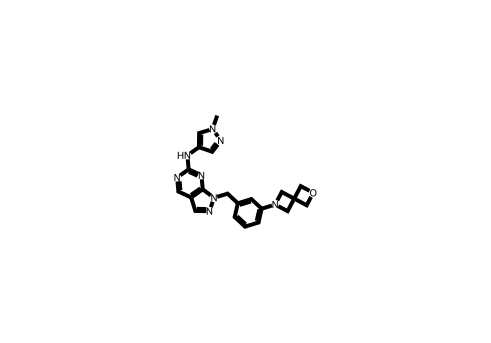 Cn1cc(Nc2ncc3cnn(Cc4cccc(N5CC6(COC6)C5)c4)c3n2)cn1